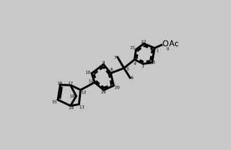 CC(=O)Oc1ccc(C(C)(C)c2ccc(C3CC4C=CC3C4)cc2)cc1